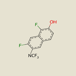 Oc1ccc2cc(NC(F)(F)F)c(F)cc2c1F